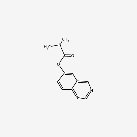 CN(C)C(=O)Oc1ccc2ncncc2c1